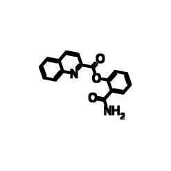 NC(=O)c1ccccc1OC(=O)c1ccc2ccccc2n1